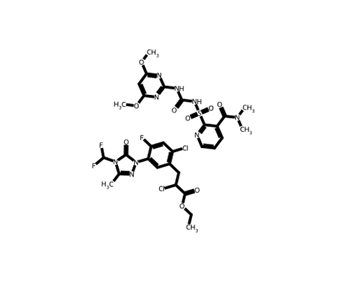 CCOC(=O)C(Cl)Cc1cc(-n2nc(C)n(C(F)F)c2=O)c(F)cc1Cl.COc1cc(OC)nc(NC(=O)NS(=O)(=O)c2ncccc2C(=O)N(C)C)n1